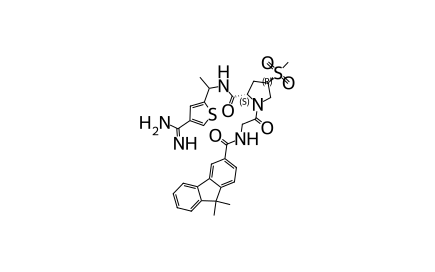 CC(NC(=O)[C@@H]1C[C@@H](S(C)(=O)=O)CN1C(=O)CNC(=O)c1ccc2c(c1)-c1ccccc1C2(C)C)c1cc(C(=N)N)cs1